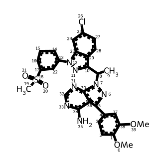 COc1ccc(-c2nn(C(C)c3nn(-c4cccc(S(C)(=O)=O)c4)c4cc(Cl)ccc34)c3ncnc(N)c23)cc1OC